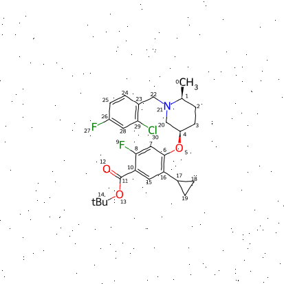 C[C@H]1CC[C@@H](Oc2cc(F)c(C(=O)OC(C)(C)C)cc2C2CC2)CN1Cc1ccc(F)cc1Cl